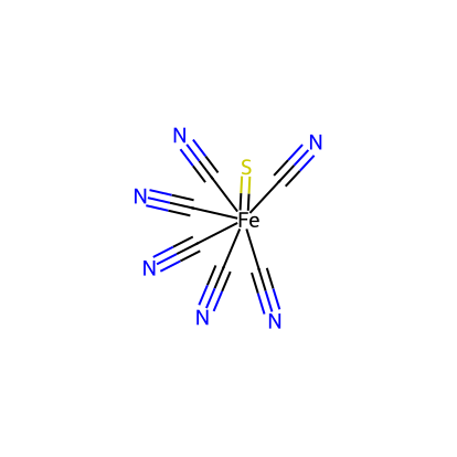 N#[C][Fe](=[S])([C]#N)([C]#N)([C]#N)([C]#N)[C]#N